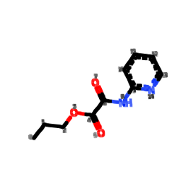 CCCOC(=O)C(=O)Nc1ccccn1